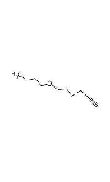 [C]#CCCCCOCCCC